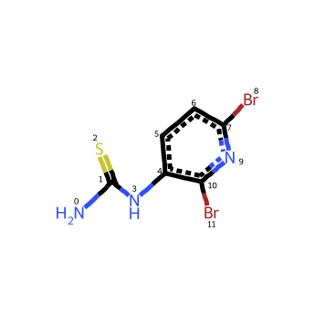 NC(=S)Nc1ccc(Br)nc1Br